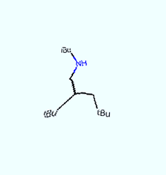 CCC(C)NCC(CC(C)(C)C)C(C)(C)C